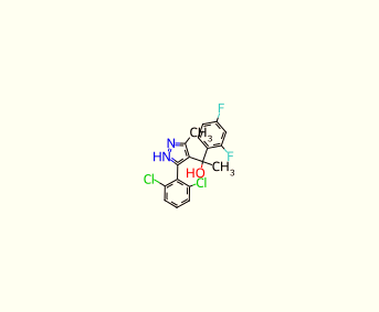 Cc1n[nH]c(-c2c(Cl)cccc2Cl)c1C(C)(O)c1ccc(F)cc1F